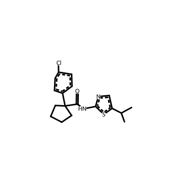 CC(C)c1cnc(NC(=O)C2(c3ccc(Cl)cc3)CCCC2)s1